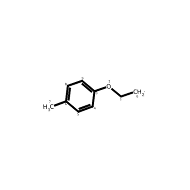 [CH2]COc1ccc(C)cc1